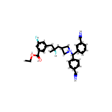 CCOC(=O)c1cc(F)cc(CC(C)(F)CC2CN(C(c3ccc(C#N)cc3)c3cccc(C#N)c3)C2)c1